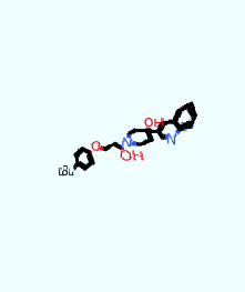 CC(C)(C)c1ccc(OCCC(O)N2CCC(O)(c3cnc4ccccc4c3)CC2)cc1